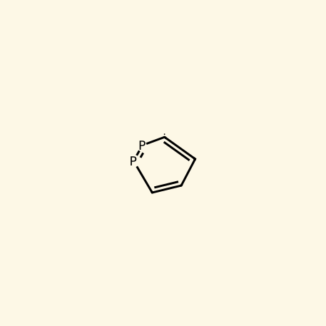 [c]1cccpp1